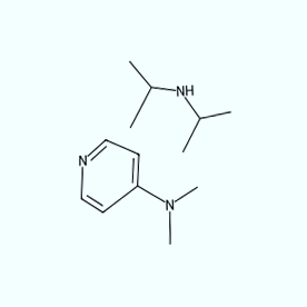 CC(C)NC(C)C.CN(C)c1ccncc1